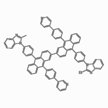 CCc1nc2ccccc2n1-c1ccc(-c2c3ccccc3c(-c3ccc(-c4ccncc4)cc3)c3cc(-c4ccc5c(-c6ccc(-n7c(C)nc8ccccc87)cc6)c6ccccc6c(-c6ccc(-c7cccnc7)cc6)c5c4)ccc23)cc1